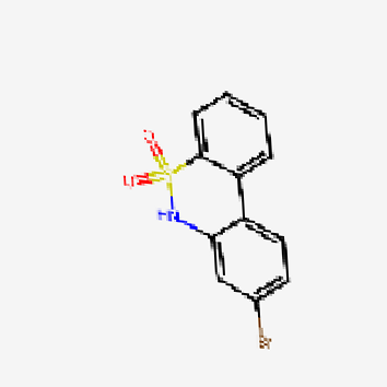 O=S1(=O)Nc2cc(Br)ccc2-c2ccccc21